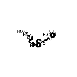 Cc1cccc(OCCCC(=O)N2CCCc3c(-c4cnn(Cc5ccnc(NCC(=O)O)n5)c4)cccc32)c1C